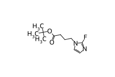 CC(C)(C)OC(=O)CCCn1ccnc1F